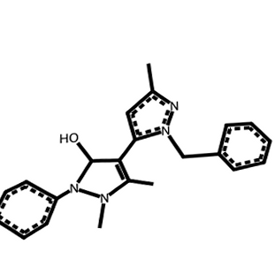 CC1=C(c2cc(C)nn2Cc2ccccc2)C(O)N(c2ccccc2)N1C